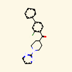 O=C(c1ccc(-c2ccccc2)cc1Cl)C1CCN(c2ncccn2)CC1